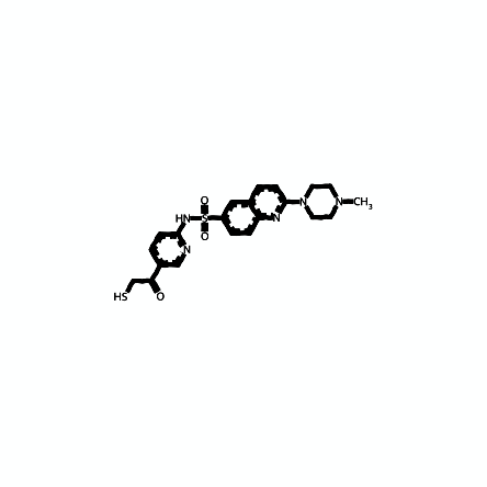 CN1CCN(c2ccc3cc(S(=O)(=O)Nc4ccc(C(=O)CS)cn4)ccc3n2)CC1